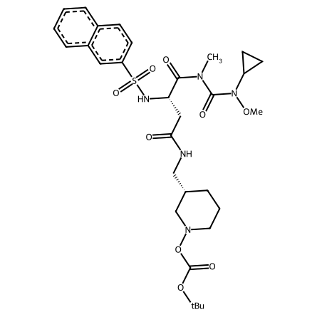 CON(C(=O)N(C)C(=O)[C@H](CC(=O)NC[C@@H]1CCCN(OC(=O)OC(C)(C)C)C1)NS(=O)(=O)c1ccc2ccccc2c1)C1CC1